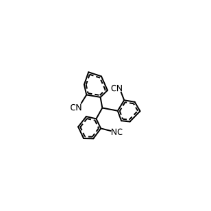 [C-]#[N+]c1ccccc1C(c1ccccc1[N+]#[C-])c1ccccc1[N+]#[C-]